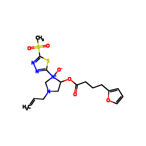 C=CCN1CC(OC(=O)CCCc2ccco2)[N+]([O-])(c2nnc(S(C)(=O)=O)s2)C1